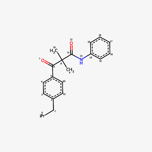 CC(C)Cc1ccc(C(=O)C(C)(C)C(=O)Nc2ccccc2)cc1